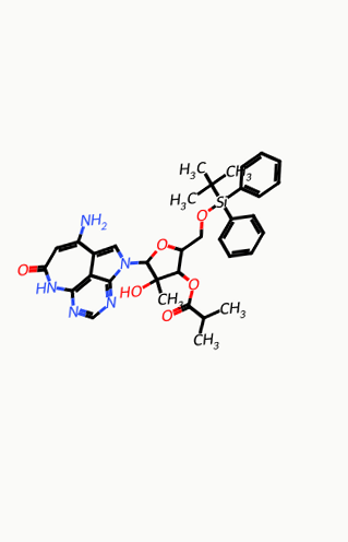 CC(C)C(=O)OC1C(CO[Si](c2ccccc2)(c2ccccc2)C(C)(C)C)OC(n2cc3c4c(ncnc42)NC(=O)C=C3N)C1(C)O